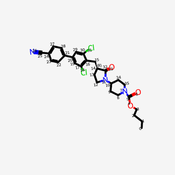 CCCCOC(=O)N1CCC(N2CC[C@@H](Cc3c(Cl)cc(-c4ccc(C#N)cc4)cc3Cl)C2=O)CC1